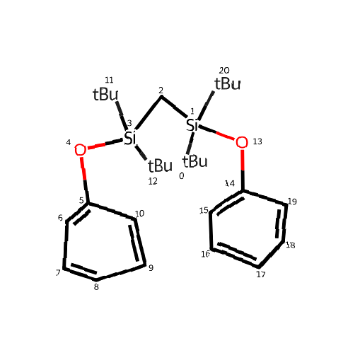 CC(C)(C)[Si](C[Si](Oc1ccccc1)(C(C)(C)C)C(C)(C)C)(Oc1ccccc1)C(C)(C)C